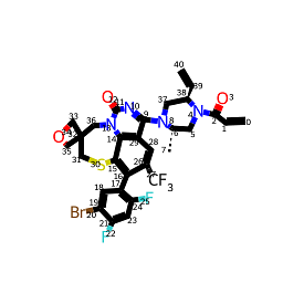 C=CC(=O)N1C[C@H](C)N(c2nc(=O)n3c4c(c(-c5cc(Br)c(F)cc5F)c(C(F)(F)F)cc24)SCC2(COC2)C3)C[C@H]1C=C